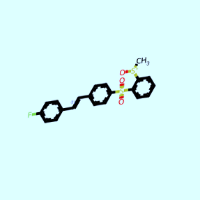 C[S+]([O-])c1ccccc1S(=O)(=O)c1ccc(/C=C/c2ccc(F)cc2)cc1